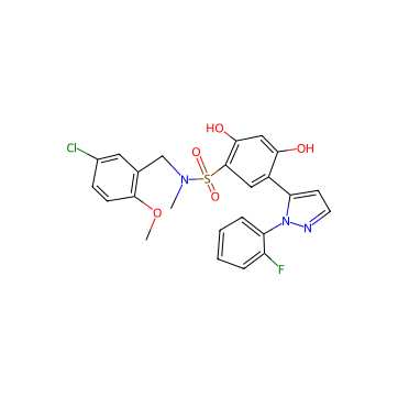 COc1ccc(Cl)cc1CN(C)S(=O)(=O)c1cc(-c2ccnn2-c2ccccc2F)c(O)cc1O